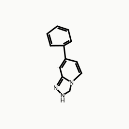 [C]1=C(c2ccccc2)C=CN2CNN=C12